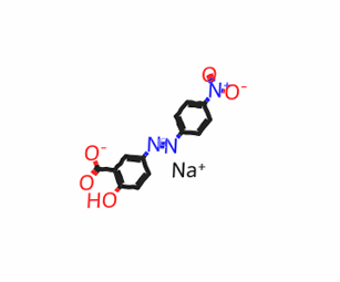 O=C([O-])c1cc(/N=N/c2ccc([N+](=O)[O-])cc2)ccc1O.[Na+]